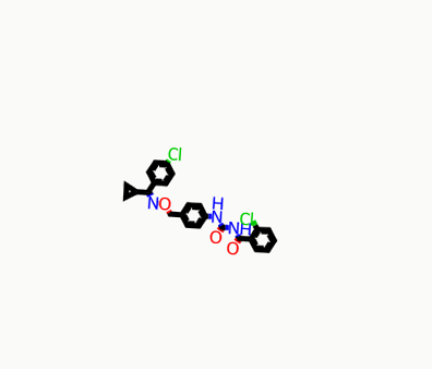 O=C(NC(=O)c1ccccc1Cl)Nc1ccc(CO/N=C(\c2ccc(Cl)cc2)C2CC2)cc1